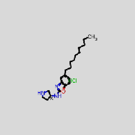 CCCCCCCCCCc1ccc2oc(N[C@H]3CCNC3)nc2c1.Cl